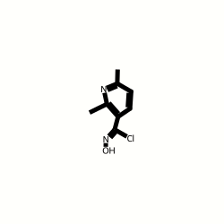 Cc1ccc(C(Cl)=NO)c(C)n1